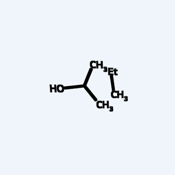 CC(C)O.CCC